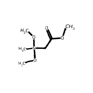 COC(=O)C[Si](C)(OC)OC